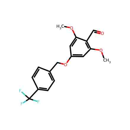 COc1cc(OCc2ccc(C(F)(F)F)cc2)cc(OC)c1C=O